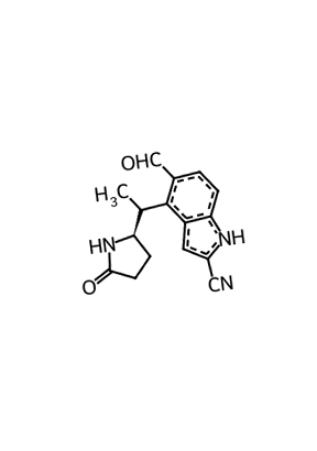 CC(c1c(C=O)ccc2[nH]c(C#N)cc12)[C@H]1CCC(=O)N1